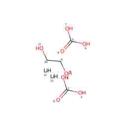 O=C(O)O.O=C(O)O.OCCO.[LiH].[LiH]